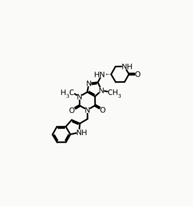 Cn1c(N[C@H]2CCC(=O)NC2)nc2c1c(=O)n(Cc1cc3ccccc3[nH]1)c(=O)n2C